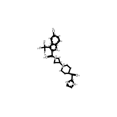 O=C(c1nccs1)C1CCN(C2CN(C(=O)c3sc4ccc(Cl)cc4c3C(F)(F)F)C2)CC1